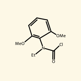 CCN(C(=O)Cl)c1c(OC)cccc1OC